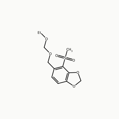 CCOCOCc1ccc2c(c1S(C)(=O)=O)OCO2